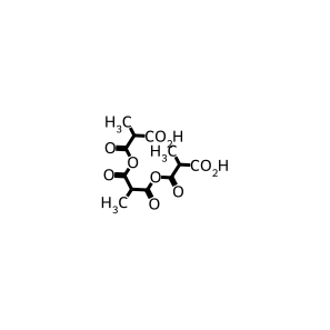 CC(C(=O)O)C(=O)OC(=O)C(C)C(=O)OC(=O)C(C)C(=O)O